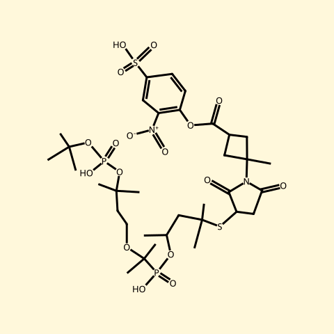 CC(CC(C)(C)SC1CC(=O)N(C2(C)CC(C(=O)Oc3ccc(S(=O)(=O)O)cc3[N+](=O)[O-])C2)C1=O)OP(=O)(O)C(C)(C)OCCC(C)(C)OP(=O)(O)OC(C)(C)C